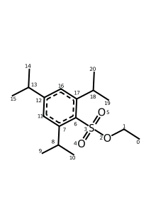 CCOS(=O)(=O)c1c(C(C)C)cc(C(C)C)cc1C(C)C